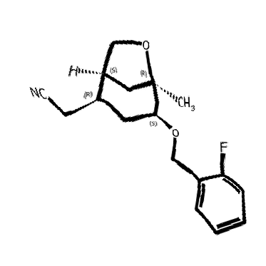 C[C@]12C[C@H](CO1)[C@H](CC#N)C[C@@H]2OCc1ccccc1F